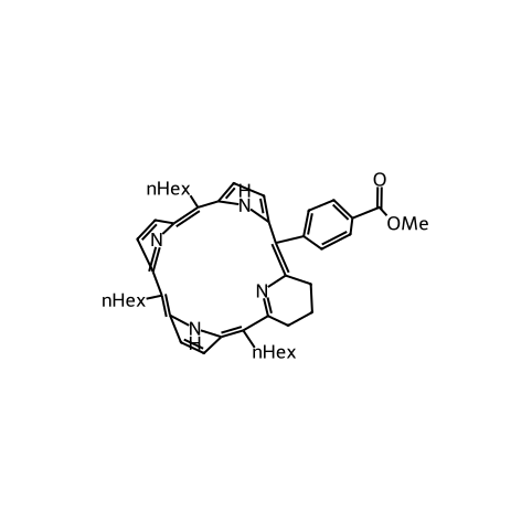 CCCCCCc1c2nc(c(CCCCCC)c3ccc([nH]3)c(-c3ccc(C(=O)OC)cc3)c3nc(c(CCCCCC)c4ccc1[nH]4)CCC3)C=C2